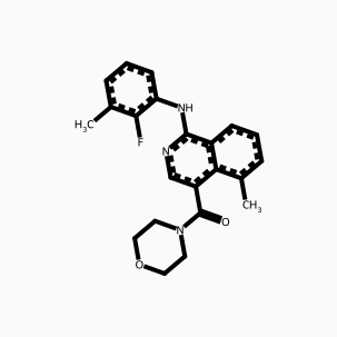 Cc1cccc(Nc2ncc(C(=O)N3CCOCC3)c3c(C)cccc23)c1F